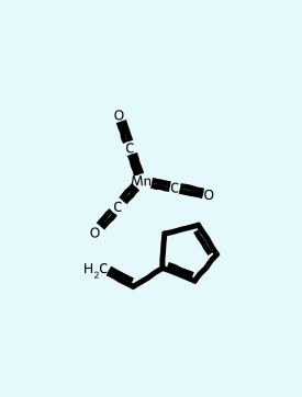 C=CC1=CC=CC1.O=[C]=[Mn](=[C]=O)=[C]=O